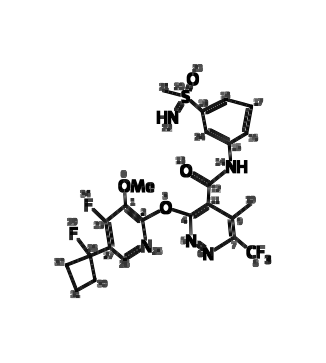 COc1c(Oc2nnc(C(F)(F)F)c(C)c2C(=O)Nc2cccc(S(C)(=N)=O)c2)ncc(C2(F)CCC2)c1F